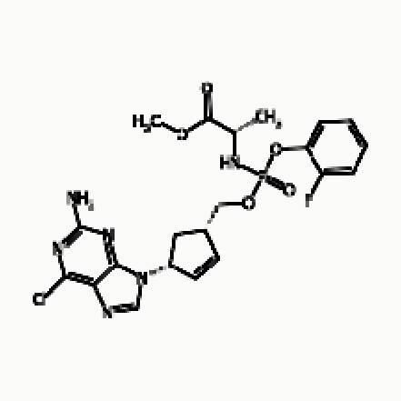 COC(=O)[C@H](C)NP(=O)(OC[C@@H]1C=C[C@H](n2cnc3c(Cl)nc(N)nc32)C1)Oc1ccccc1F